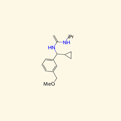 C=C(NC(C)C)NC(c1cccc(COC)c1)C1CC1